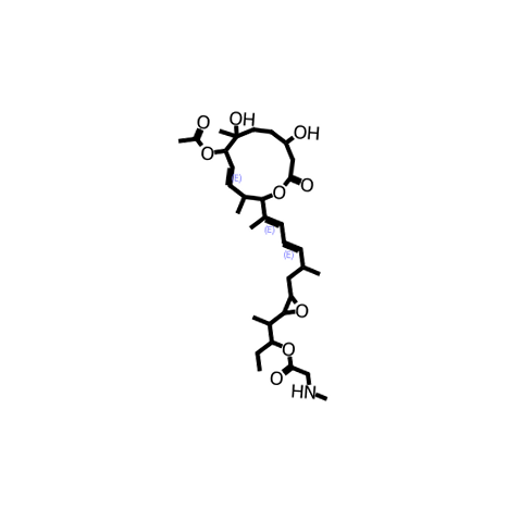 CCC(OC(=O)CNC)C(C)C1OC1CC(C)/C=C/C=C(\C)C1OC(=O)CC(O)CCC(C)(O)C(OC(C)=O)/C=C/C1C